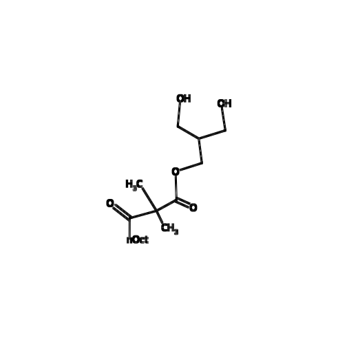 CCCCCCCCC(=O)C(C)(C)C(=O)OCC(CO)CO